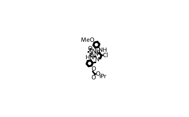 COc1ccc(Nc2nc(Nc3cccc(OCC(=O)OC(C)C)c3C)ncc2Cl)c(NS(C)(=O)=O)c1